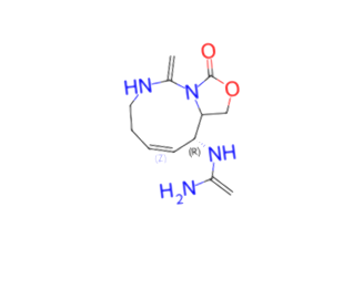 C=C(N)N[C@@H]1/C=C\CCNC(=C)N2C(=O)OCC12